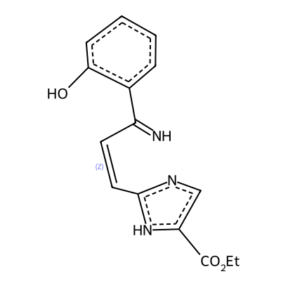 CCOC(=O)c1cnc(/C=C\C(=N)c2ccccc2O)[nH]1